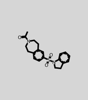 CC(=O)N1CCc2ccc(S(=O)(=O)N3CCc4ccccc43)cc2CC1